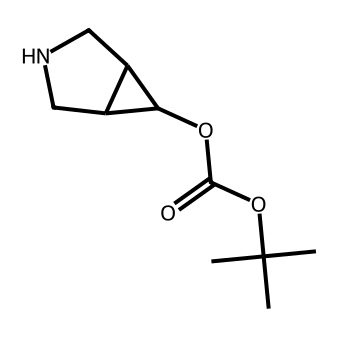 CC(C)(C)OC(=O)OC1C2CNCC21